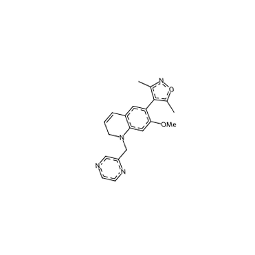 COc1cc2c(cc1-c1c(C)noc1C)C=CCN2Cc1cnccn1